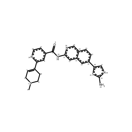 CN1CC=C(c2cc(C(=O)Nc3cc4cc(-c5cnc(N)s5)ccc4cn3)ccn2)CC1